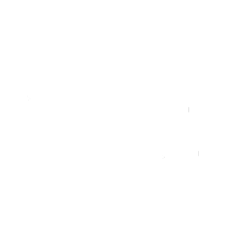 Fc1sc2cc3cc4cc5sccc5cc4cc3cc2c1F